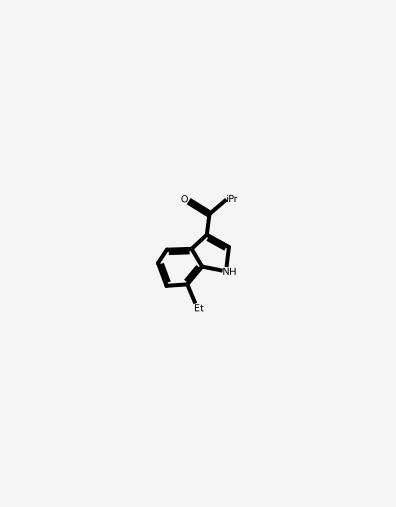 CCc1cccc2c(C(=O)C(C)C)c[nH]c12